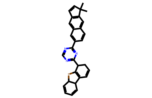 CC1(C)C=Cc2cc3cc(-c4ncnc(C5CC=CC6=C5SC5C=CC=CC65)n4)ccc3cc21